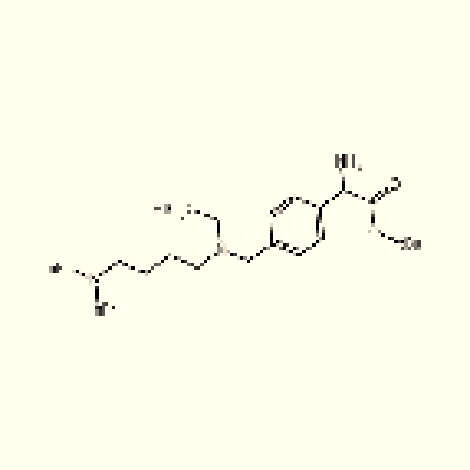 CCCN(CCC)CCCCN(CC(=O)OCC)Cc1ccc(C(N)C(=O)OC(C)(C)C)cc1